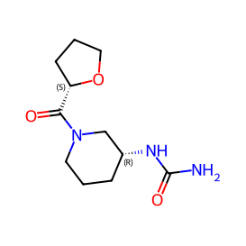 NC(=O)N[C@@H]1CCCN(C(=O)[C@@H]2CCCO2)C1